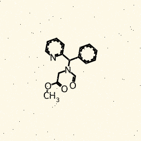 COC(=O)CN(C=O)C(c1ccccc1)c1ccccn1